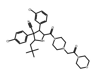 CC(C)(C)CC1NC(C(=O)N2CCN(CC(=O)N3CCOCC3)CC2)C(c2cccc(Cl)c2)C1(C#N)c1ccc(Cl)cc1